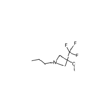 CCCN1CC(OC)(C(F)(F)F)C1